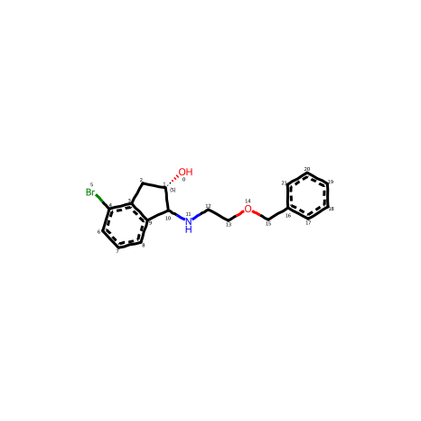 O[C@H]1Cc2c(Br)cccc2C1NCCOCc1ccccc1